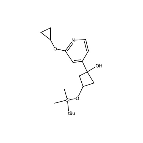 CC(C)(C)[Si](C)(C)OC1CC(O)(c2ccnc(OC3CC3)c2)C1